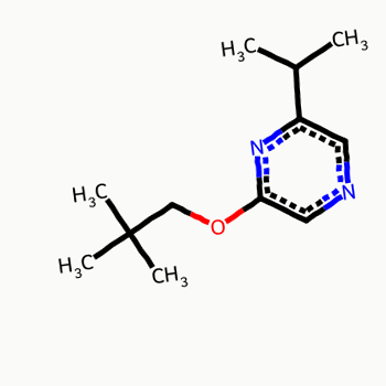 CC(C)c1cncc(OCC(C)(C)C)n1